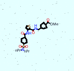 CCCN(CCC)S(=O)(=O)c1ccc(C(=O)Nc2ccsc2C(=O)NCc2ccc(C(=O)OC)cc2)cc1